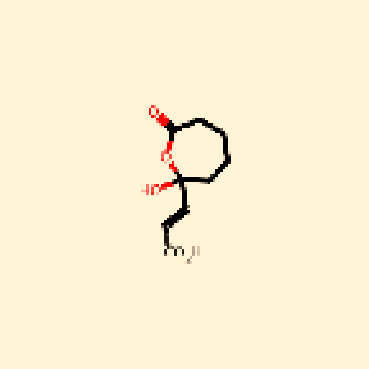 O=C(O)C=CC1(O)CCCCC(=O)O1